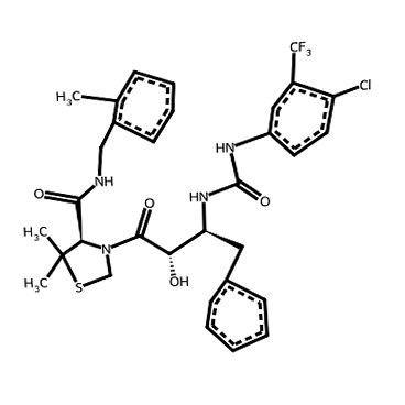 Cc1ccccc1CNC(=O)[C@H]1N(C(=O)[C@@H](O)[C@H](Cc2ccccc2)NC(=O)Nc2ccc(Cl)c(C(F)(F)F)c2)CSC1(C)C